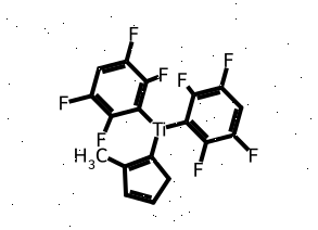 CC1=[C]([Ti]([c]2c(F)c(F)cc(F)c2F)[c]2c(F)c(F)cc(F)c2F)CC=C1